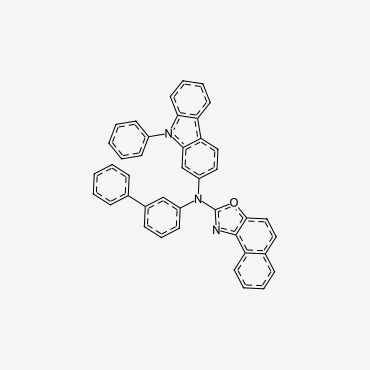 c1ccc(-c2cccc(N(c3ccc4c5ccccc5n(-c5ccccc5)c4c3)c3nc4c(ccc5ccccc54)o3)c2)cc1